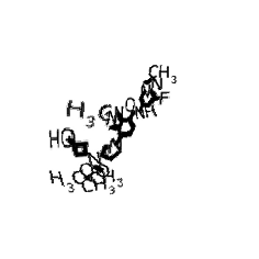 Cc1cn2cc(NC(=O)c3ccc(N4CC[C@H](N(C(=O)OC(C)(C)C)C5CC(O)C5)C4)c4cn(C)nc34)cc(F)c2n1